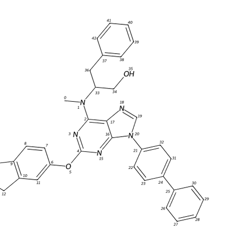 CN(c1nc(Oc2ccc3c(c2)CCC3)nc2c1ncn2-c1ccc(-c2ccccc2)cc1)C(CO)Cc1ccccc1